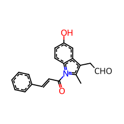 Cc1c(CC=O)c2cc(O)ccc2n1C(=O)/C=C/c1ccccc1